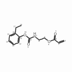 C=CC(=O)OCCNC(=O)Oc1ccccc1CC